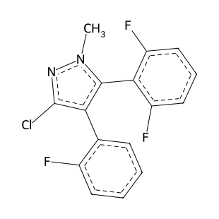 Cn1nc(Cl)c(-c2ccccc2F)c1-c1c(F)cccc1F